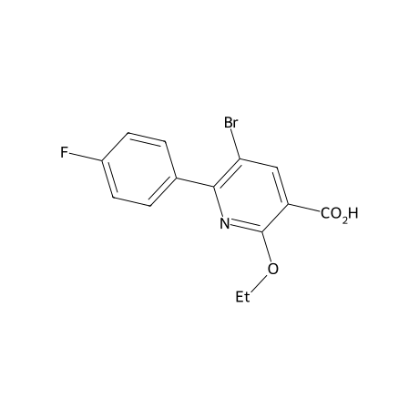 CCOc1nc(-c2ccc(F)cc2)c(Br)cc1C(=O)O